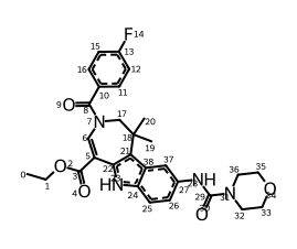 CCOC(=O)C1=CN(C(=O)c2ccc(F)cc2)CC(C)(C)c2c1[nH]c1ccc(NC(=O)N3CCOCC3)cc21